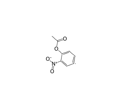 CC(=O)Oc1cc[c]cc1[N+](=O)[O-]